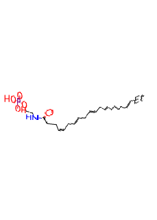 CCC=CCC=CCC=CCC=CCC=CC/C=C\CCC(=O)NCCOP(=O)(O)O